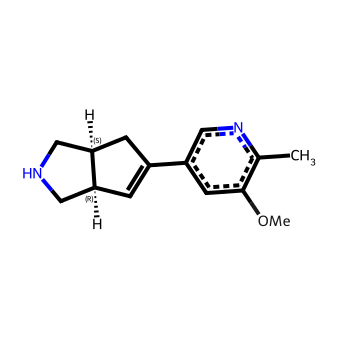 COc1cc(C2=C[C@H]3CNC[C@H]3C2)cnc1C